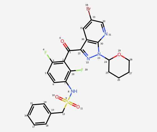 O=C(c1c(F)ccc(NS(=O)(=O)Cc2ccccc2)c1F)c1nn(C2CCCCO2)c2ncc(Br)cc12